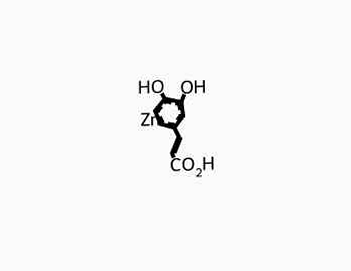 O=C(O)/C=C/c1ccc(O)c(O)c1.[Zn]